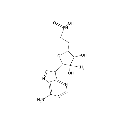 CC1(O)C(O)C(CC[PH](=O)O)OC1n1cnc2c(N)ncnc21